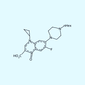 CCCCCCN1CCN(c2cc3c(cc2F)c(=O)c(C(=O)O)cn3C2CC2)CC1